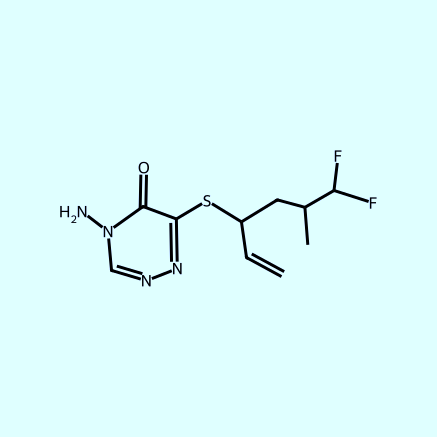 C=CC(CC(C)C(F)F)Sc1nncn(N)c1=O